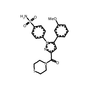 COc1cccc(-c2cc(C(=O)N3CCSCC3)nn2-c2ccc(S(N)(=O)=O)cc2)c1